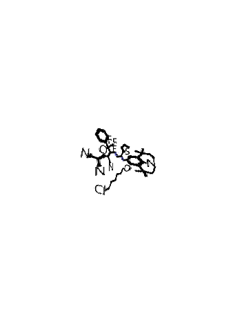 CC1(C)CCN2CCC(C)(C)c3c(OCCCCCCCl)c(/C=C(/C=C/C4=C(C#N)C(=C(C#N)C#N)OC4(c4ccccc4)C(F)(F)F)c4cccs4)cc1c32